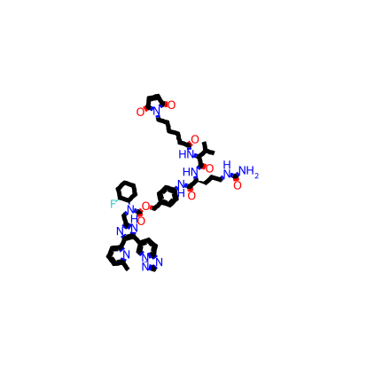 Cc1cccc(-c2nc(CN(C(=O)OCc3ccc(NC(=O)[C@H](CCCNC(N)=O)NC(=O)C(NC(=O)CCCCCN4C(=O)C=CC4=O)C(C)C)cc3)[C@H]3CCCC[C@H]3F)[nH]c2-c2ccc3ncnn3c2)n1